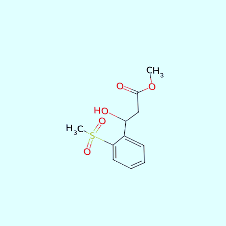 COC(=O)CC(O)c1ccccc1S(C)(=O)=O